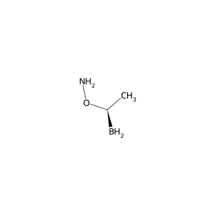 B[C@H](C)ON